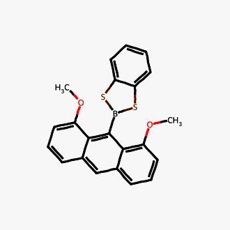 COc1cccc2cc3cccc(OC)c3c(B3Sc4ccccc4S3)c12